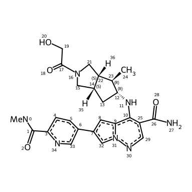 CNC(=O)c1ccc(-c2cc3c(N[C@@H]4C[C@@H]5CN(C(=O)CO)C[C@@H]5[C@H]4C)c(C(N)=O)cnn3c2)cn1